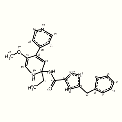 CCC1(NC(=O)c2nnc(Cc3ccccc3)[nH]2)C=C(c2ccncc2)C(OC)=CN1